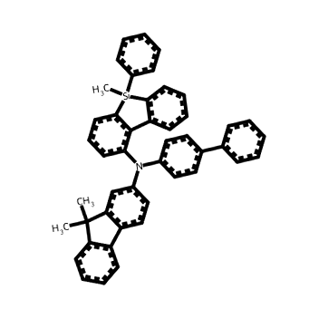 CC1(C)c2ccccc2-c2ccc(N(c3ccc(-c4ccccc4)cc3)c3cccc4c3-c3ccccc3[Si]4(C)c3ccccc3)cc21